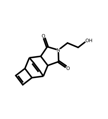 O=C1C2C3C=CC(C4C=CC43)C2C(=O)N1CCO